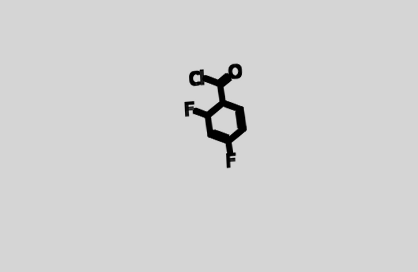 O=C(Cl)C1C=CC(F)=CC1F